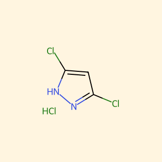 Cl.Clc1cc(Cl)[nH]n1